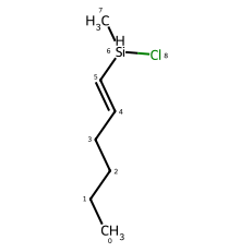 CCCCC=C[SiH](C)Cl